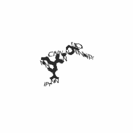 CCC1(C(=O)NC(C)C)CCN(c2ncc(-c3cc(-c4cnn(C(C)C)c4)cn4ncc(C#N)c34)cn2)CC1